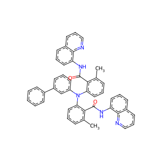 Cc1cccc(N(c2cccc(-c3ccccc3)c2)c2cccc(C)c2C(=O)Nc2cccc3cccnc23)c1C(=O)Nc1cccc2cccnc12